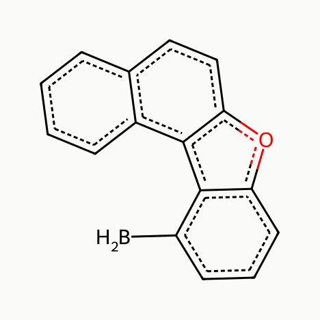 Bc1cccc2oc3ccc4ccccc4c3c12